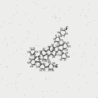 Fc1ccc(-c2cccc(-c3c4c(c(-c5ccccc5)c5ccccc35)-c3ccc5c6ccc7c8c(ccc(c9ccc-4c3c59)c86)-c3c-7c(-c4cccc(-c5ccc(F)cc5)c4)c4ccccc4c3-c3ccccc3)c2)cc1